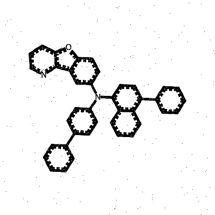 c1ccc(-c2ccc(N(c3ccc4oc5cccnc5c4c3)c3ccc(-c4ccccc4)c4ccccc34)cc2)cc1